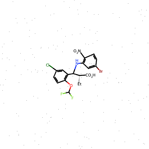 CC[C@@H](C(=O)O)C(Nc1cc(Br)ccc1[N+](=O)[O-])c1cc(Cl)ccc1OC(F)F